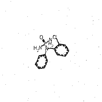 NP(N)(=O)N(c1ccccc1)c1ccccc1Cl